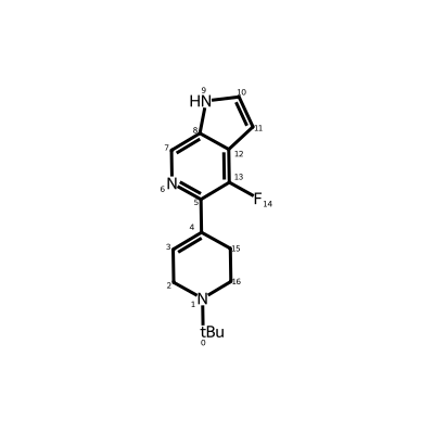 CC(C)(C)N1CC=C(c2ncc3[nH]ccc3c2F)CC1